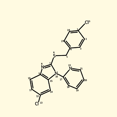 Clc1ccc(CSc2nc3ccc(Cl)cc3n2-c2ccccn2)cc1